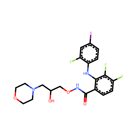 O=C(NOCC(O)CN1CCOCC1)c1ccc(F)c(F)c1Nc1ccc(I)cc1F